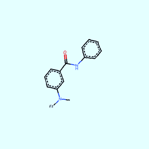 CCN(C)c1cccc(C(=O)Nc2ccccc2)c1